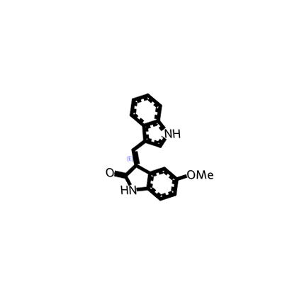 COc1ccc2c(c1)/C(=C\c1c[nH]c3ccccc13)C(=O)N2